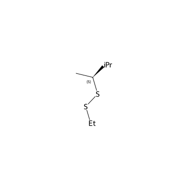 CCSS[C@@H](C)C(C)C